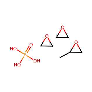 C1CO1.C1CO1.CC1CO1.O=P(O)(O)O